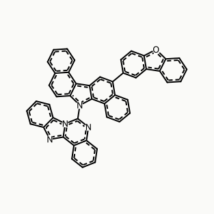 c1ccc2c(c1)ccc1c2c2cc(-c3ccc4oc5ccccc5c4c3)c3ccccc3c2n1-c1nc2ccccc2c2nc3ccccc3n12